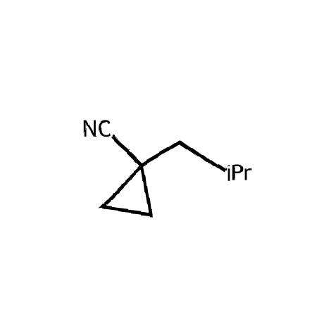 CC(C)CC1(C#N)CC1